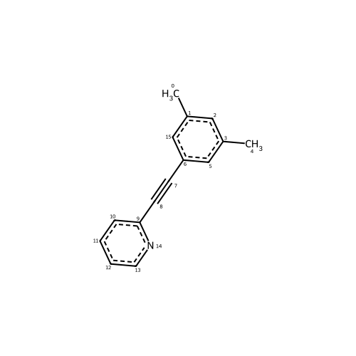 Cc1cc(C)cc(C#Cc2ccccn2)c1